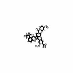 CC/C=C(\C(F)=C/CC(=O)O)c1nn(C(=O)c2c(Cl)cccc2C2(C(F)(F)F)CC2)c2c1CC[C@H](C(=O)N1CCC(N=O)CC1)C2